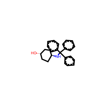 O[C@H]1CC[C@H](NC(c2ccccc2)(c2ccccc2)c2ccccc2)CC1